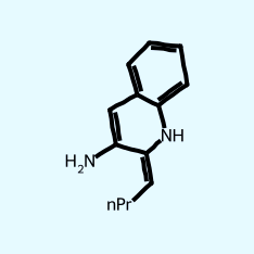 CCCC=C1Nc2ccccc2C=C1N